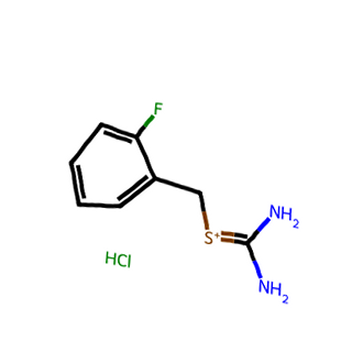 Cl.NC(N)=[S+]Cc1ccccc1F